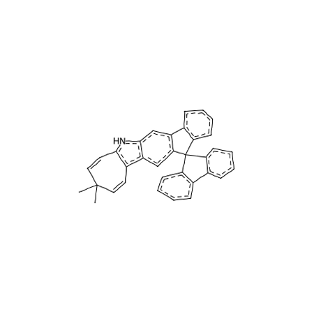 CC1(C)C=Cc2[nH]c3cc4c(cc3c2C=C1)C1(c2ccccc2-c2ccccc21)c1ccccc1-4